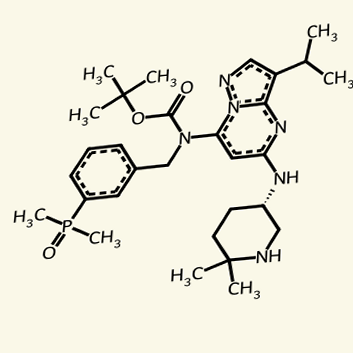 CC(C)c1cnn2c(N(Cc3cccc(P(C)(C)=O)c3)C(=O)OC(C)(C)C)cc(N[C@H]3CCC(C)(C)NC3)nc12